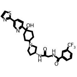 O=C(CNC(=O)c1cccc(C(F)(F)F)c1)N[C@@H]1CCN(C2CCC(O)(c3ccc(-c4nccs4)cn3)CC2)C1